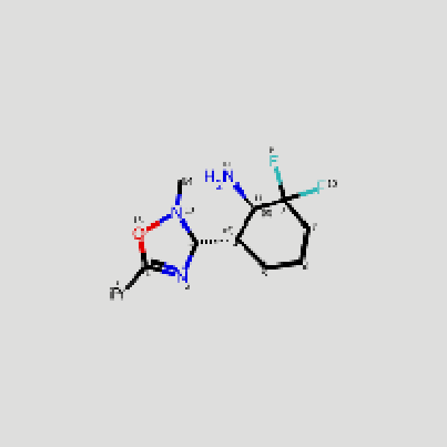 CC(C)C1=NC([C@H]2CCCC(F)(F)[C@@H]2N)N(C)O1